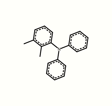 Cc1cccc(N(c2ccccc2)c2ccccc2)c1C